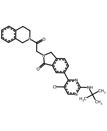 CC(C)(C)Nc1ncc(Cl)c(-c2ccc3c(c2)C(=O)N(CC(=O)N2CCc4ccccc4C2)C3)n1